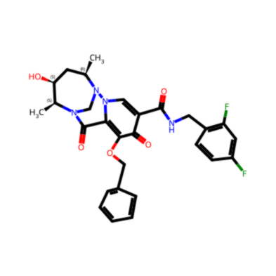 C[C@@H]1C[C@H](O)[C@H](C)N2CN1n1cc(C(=O)NCc3ccc(F)cc3F)c(=O)c(OCc3ccccc3)c1C2=O